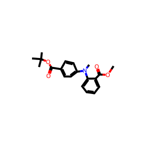 COC(=O)c1ccccc1N(C)c1ccc(C(=O)OC(C)(C)C)cc1